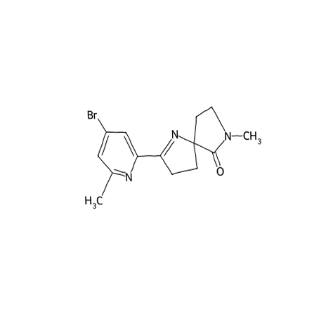 Cc1cc(Br)cc(C2=NC3(CC2)CCN(C)C3=O)n1